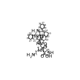 NCCCC[C@H](NC(=O)[C@H](Cc1ccccc1)NC(=O)[C@H](Cc1ccccc1)NC(=O)[C@@H](N)Cc1ccccc1)C(=O)N[C@@H](CS)C(=O)O